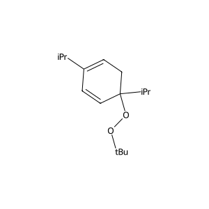 CC(C)C1=CCC(OOC(C)(C)C)(C(C)C)C=C1